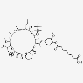 C=CCC1/C=C(\C)CC(C)CC(OC)C2OC(O)(C(=O)C(=O)N3CCCCC3C(=O)OC(C(C)=CC3CCC(OC(=O)CCCCCCC(=O)O)C(OC)C3)C(C)C(O[Si](C)(C)C(C)(C)C)CC1=O)C(C)CC2OC